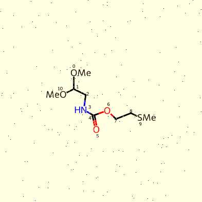 COC(CNC(=O)OCCSC)OC